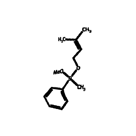 CO[Si](C)(OCC=C(C)C)c1ccccc1